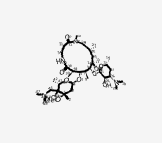 CO[C@]1(C)C[C@H](O[C@H]2[C@H](C)[C@@H](O[C@@H]3O[C@H](C)C[C@H](N(C)C)[C@H]3O)[C@](C)(O)C[C@@H](C)CN(C)C(=O)CCNC(=O)[C@@H]2C)O[C@@H](C)C1(O)CN(C)C